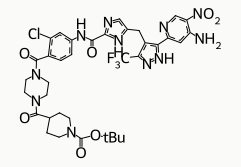 CC(C)(C)OC(=O)N1CCC(C(=O)N2CCN(C(=O)c3ccc(NC(=O)c4ncc(Cc5c(C(F)(F)F)n[nH]c5-c5cc(N)c([N+](=O)[O-])cn5)[nH]4)cc3Cl)CC2)CC1